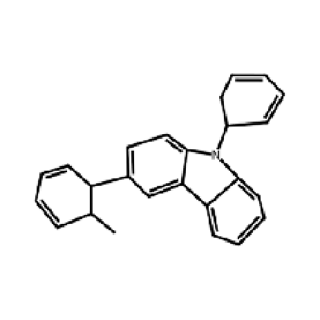 CC1C=CC=CC1c1ccc2c(c1)c1ccccc1n2C1C=CC=CC1